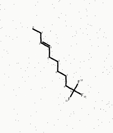 CCC=CCCCCCC(F)(F)F